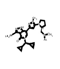 CC(=O)N(C)C[C@@H]1CCCN1c1cc(-c2cn(C(C3CC3)C3CC3)c(=O)c3c(N)n[nH]c23)nn1C